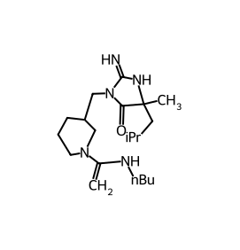 C=C(NCCCC)N1CCCC(CN2C(=N)NC(C)(CC(C)C)C2=O)C1